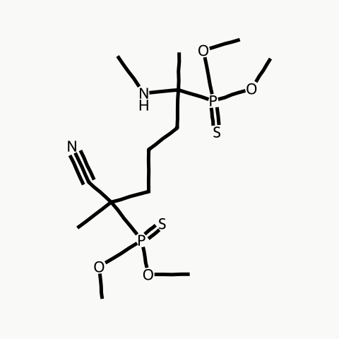 CNC(C)(CCCC(C)(C#N)P(=S)(OC)OC)P(=S)(OC)OC